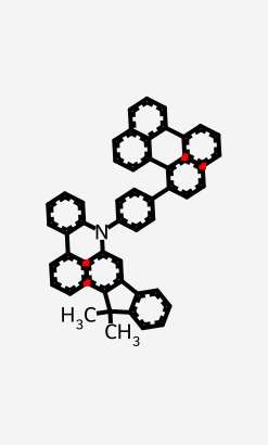 CC1(C)c2ccccc2-c2cc(N(c3ccc(-c4ccccc4-c4cccc5cccc(-c6ccccc6)c45)cc3)c3ccccc3-c3ccccc3)ccc21